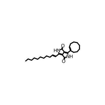 CCCCCCCCC/C=C/C1=C2C(=O)NC(/C3=C/CCCCCCC3)=C2C(=O)N1